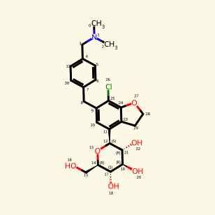 CN(C)Cc1ccc(Cc2cc([C@@H]3O[C@H](CO)[C@@H](O)[C@H](O)[C@H]3O)c3c(c2Cl)OCC3)cc1